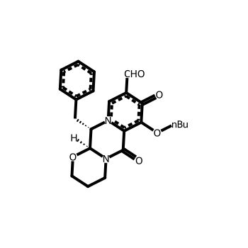 CCCCOc1c2n(cc(C=O)c1=O)[C@@H](Cc1ccccc1)[C@@H]1OCCCN1C2=O